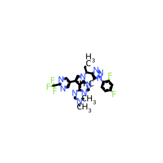 CCC(c1nnn(-c2ccc(F)cc2F)c1C)n1cc(-c2cnc(C(F)(F)F)nc2)c2c(/N=C\N(C)C)ncnc21